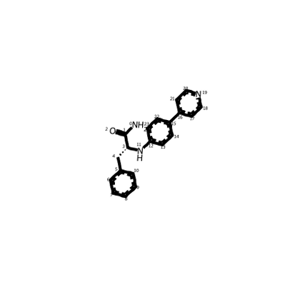 NC(=O)[C@@H](Cc1ccccc1)Nc1ccc(-c2ccncc2)cc1